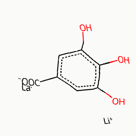 O=C([O-])c1cc(O)c(O)c(O)c1.[La].[Li+]